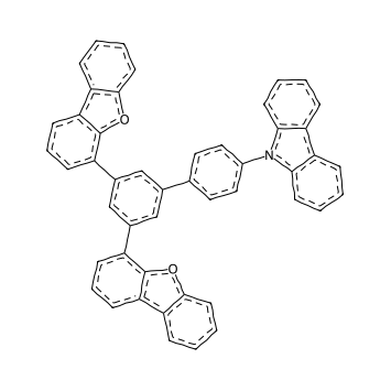 c1ccc2c(c1)oc1c(-c3cc(-c4ccc(-n5c6ccccc6c6ccccc65)cc4)cc(-c4cccc5c4oc4ccccc45)c3)cccc12